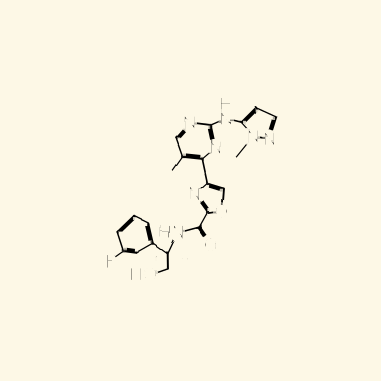 Cc1cnc(Nc2ccnn2C)nc1-c1coc(C(=O)N[C@@](C)(CO)c2cccc(F)c2)n1